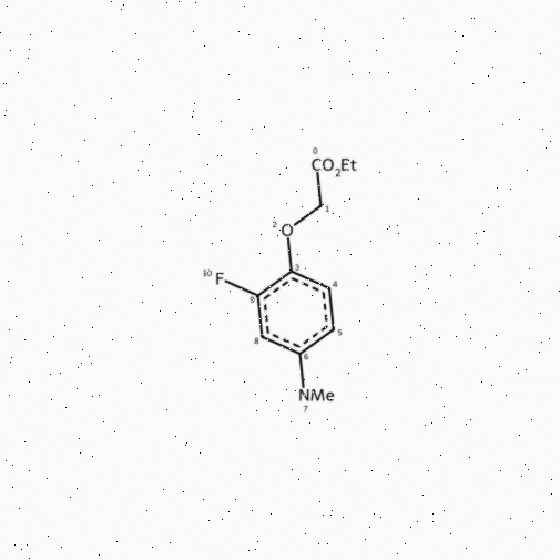 CCOC(=O)COc1ccc(NC)cc1F